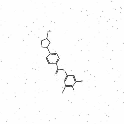 CCCCC1CCC(c2ccc(C(=O)Oc3cc(F)c(F)c(F)c3)cc2)C1